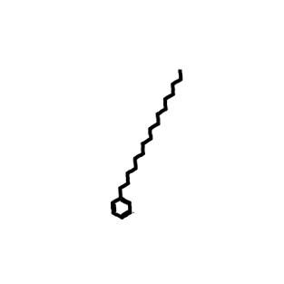 CCCCCCCCCCCCCCCCCc1c[c]ccc1